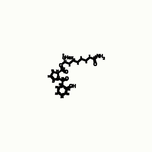 CCCCCC[C@H](CCCCCCC(N)=O)OC(=O)[C@@H]1CC=CN1C(=O)c1ccccc1O